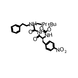 CC(C)C[C@H](NCCc1ccccc1)C(=O)NC(=O)[C@H](Cc1ccc([N+](=O)[O-])cc1)NC(=O)OC(C)(C)C